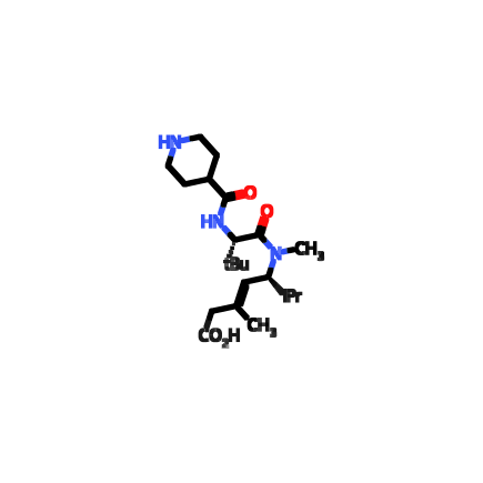 C/C(=C\[C@H](C(C)C)N(C)C(=O)[C@@H](NC(=O)C1CCNCC1)C(C)(C)C)CC(=O)O